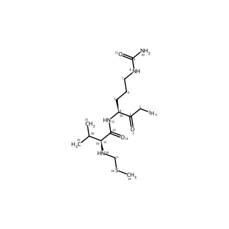 [2H]CC(=O)[C@H](CCCNC(N)=O)NC(=O)[C@@H](NCSC)C(C)C